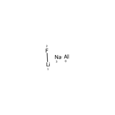 [Al].[Li][F].[Na]